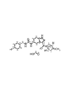 CN1C[C@@H]2C[C@H]1CN2C(=O)c1n[nH]c2ccc(NC(=O)NCc3ccc(F)cc3)cc12.O=CO